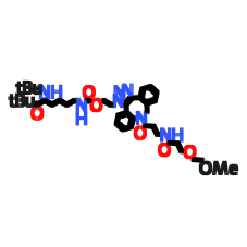 COCCOCCC(=O)NCCC(=O)N1Cc2ccccc2-c2nnn(CCOC(=O)NCCCCC(NC(C)(C)C)C(=O)C(C)(C)C)c2-c2ccccc21